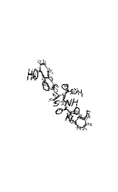 O=C(Nc1scc(-c2cc3cccc(O)c3o2)c1C(=O)O)c1nc2cccc(F)c2o1